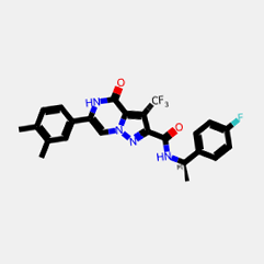 Cc1ccc(-c2cn3nc(C(=O)N[C@H](C)c4ccc(F)cc4)c(C(F)(F)F)c3c(=O)[nH]2)cc1C